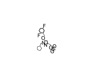 CS(=O)(=O)OCc1cc(OCc2cc(F)ccc2F)n(CC2CCCC2)n1